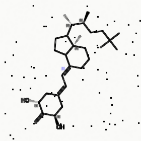 C=C1[C@H](O)CC(=C/C=C2\CCC[C@@]3(C)C2CCC3[C@H](C)[C@@H](C)CCC(C)(C)C)C[C@H]1O